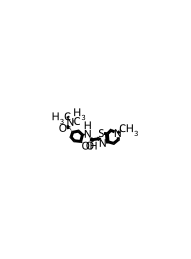 CN1CCc2nc(C(=O)N[C@@H]3C[C@@H](C(=O)N(C)C)CC[C@H]3O)sc2C1